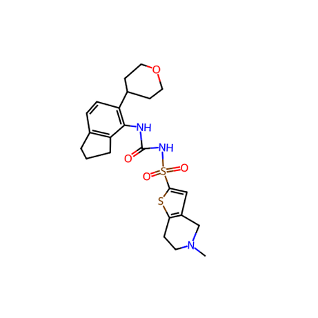 CN1CCc2sc(S(=O)(=O)NC(=O)Nc3c(C4CCOCC4)ccc4c3CCC4)cc2C1